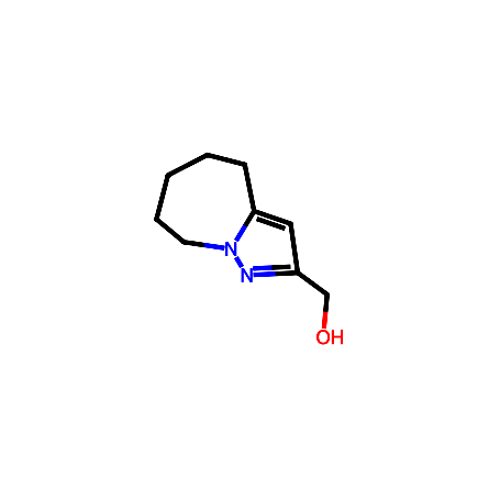 OCc1cc2n(n1)CCCCC2